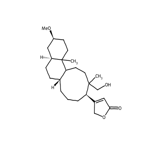 CO[C@H]1CCC2(C)C3CCC(C)(CO)[C@@H](C4=CC(=O)OC4)CCC[C@@H]3CC[C@H]2C1